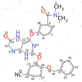 CN(C)C(=O)c1cccc(OC2=C3NC(=O)CN=C3NC(Oc3cc(C#N)ccc3OCc3ccccc3)=N2)c1